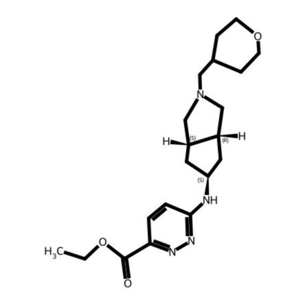 CCOC(=O)c1ccc(N[C@H]2C[C@@H]3CN(CC4CCOCC4)C[C@@H]3C2)nn1